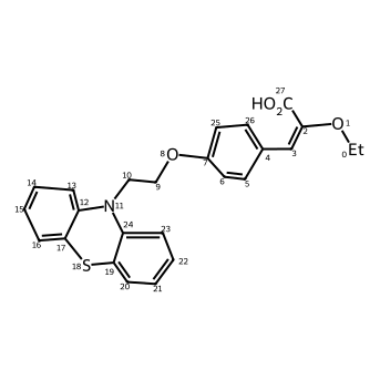 CCO/C(=C/c1ccc(OCCN2c3ccccc3Sc3ccccc32)cc1)C(=O)O